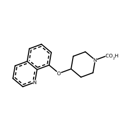 O=C(O)N1CCC(Oc2cccc3cccnc23)CC1